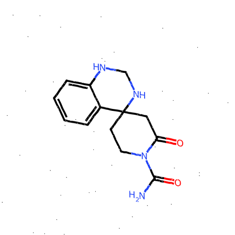 NC(=O)N1CCC2(CC1=O)NCNc1ccccc12